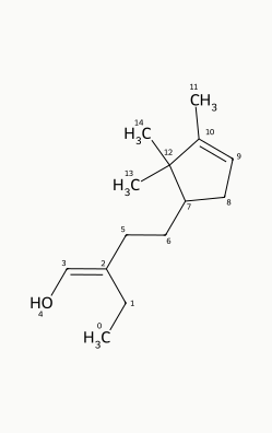 CC/C(=C\O)CCC1CC=C(C)C1(C)C